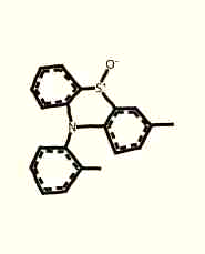 Cc1ccc2c(c1)[S+]([O-])c1ccccc1N2c1ccccc1C